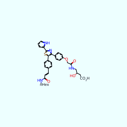 CCCCCCNC(=O)C=Cc1ccc(-c2sc(-c3ccc[nH]3)nc2-c2ccc(OCC(=O)NCC(O)CC(=O)O)cc2)cc1